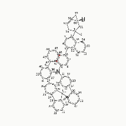 CC1(c2ccc(-c3ccc(N(c4ccc5c(c4)C4(c6ccccc6-c6ccccc64)c4ccccc4-5)c4ccccc4-c4ccccc4)cc3)c3ccccc23)CC=C2C[C@@H]2C1